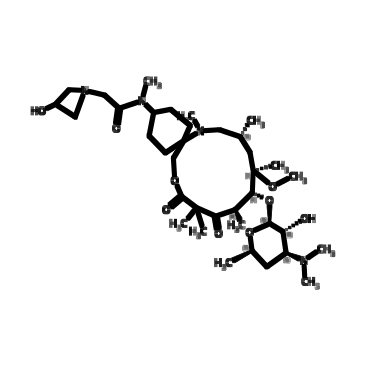 CO[C@]1(C)C[C@@H](C)CN(C)C2(CCC(N(C)C(=O)CN3CC(O)C3)CC2)COC(=O)C(C)(C)C(=O)[C@H](C)[C@H]1O[C@@H]1O[C@H](C)C[C@H](N(C)C)[C@H]1O